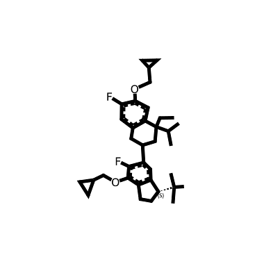 CCC1(C(C)C)CC(c2cc3c(c(OCC4CC4)c2F)CC[C@H]3C(C)(C)C)Cc2cc(F)c(OCC3CC3)cc21